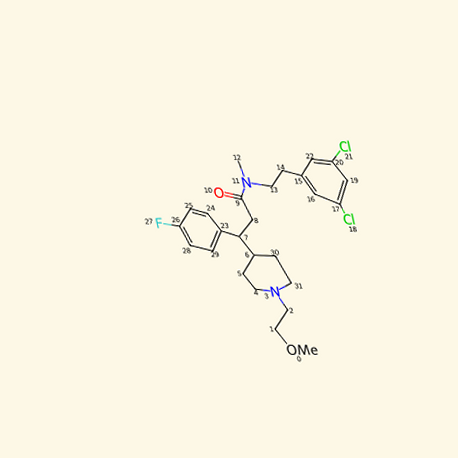 COCCN1CCC(C(CC(=O)N(C)CCc2cc(Cl)cc(Cl)c2)c2ccc(F)cc2)CC1